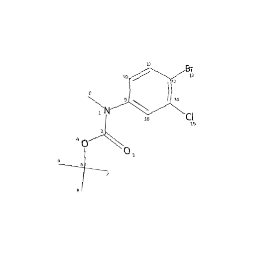 CN(C(=O)OC(C)(C)C)c1ccc(Br)c(Cl)c1